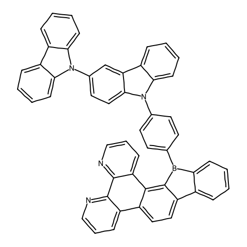 c1ccc2c(c1)B(c1ccc(-n3c4ccccc4c4cc(-n5c6ccccc6c6ccccc65)ccc43)cc1)c1c-2ccc2c3cccnc3c3ncccc3c12